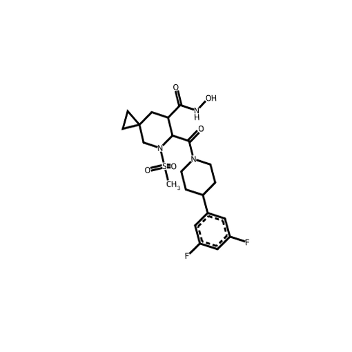 CS(=O)(=O)N1CC2(CC2)CC(C(=O)NO)C1C(=O)N1CCC(c2cc(F)cc(F)c2)CC1